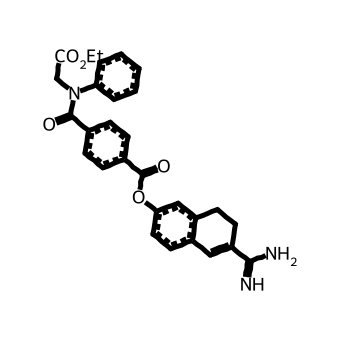 CCOC(=O)CN(C(=O)c1ccc(C(=O)Oc2ccc3c(c2)CCC(C(=N)N)=C3)cc1)c1ccccc1